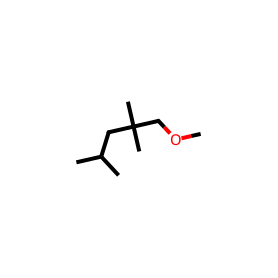 COCC(C)(C)CC(C)C